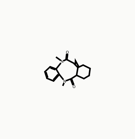 CN1C(=O)C2CCCCC23CCCCC3C(=O)N(C)c2ccccc21